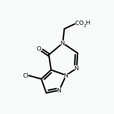 O=C(O)Cn1cnn2ncc(Cl)c2c1=O